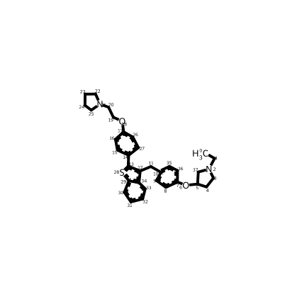 CCN1CCC(Oc2ccc(Cc3c(-c4ccc(OCCN5CCCC5)cc4)sc4ccccc34)cc2)C1